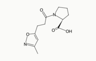 Cc1cc(CCC(=O)N2CCC[C@H]2C(=O)O)on1